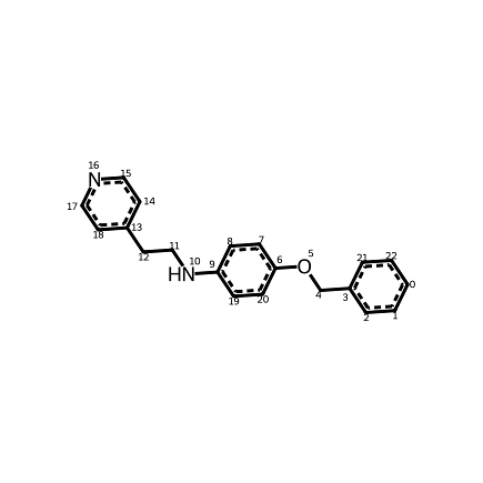 c1ccc(COc2ccc(NCCc3ccncc3)cc2)cc1